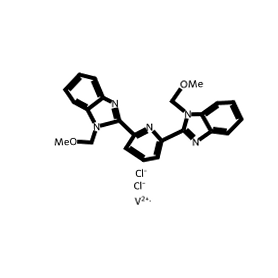 COCn1c(-c2cccc(-c3nc4ccccc4n3COC)n2)nc2ccccc21.[Cl-].[Cl-].[V+2]